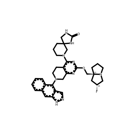 O=C1NCC2(CCCN(c3nc(OC[C@@]45CCCN4C[C@H](F)C5)nc4c3CCN(c3c5ccccc5cc5[nH]ncc35)C4)C2)N1